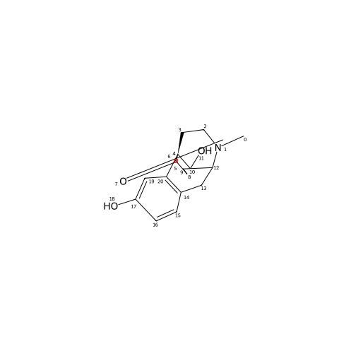 CN1CC[C@]23CC(=O)CCC2(O)C1Cc1ccc(O)cc13